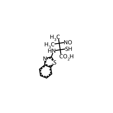 CC(C)(N=O)C(S)(Nc1nc2ccccc2s1)C(=O)O